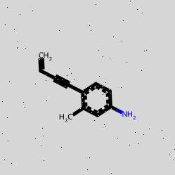 C=CC#Cc1ccc(N)cc1C